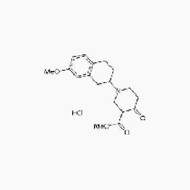 COC(=O)C1CN(C2CCc3ccc(OC)cc3C2)CCC1=O.Cl